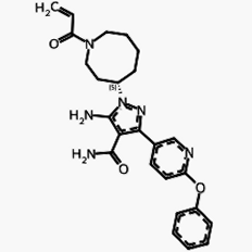 C=CC(=O)N1CCCC[C@H](n2nc(-c3ccc(Oc4ccccc4)nc3)c(C(N)=O)c2N)CC1